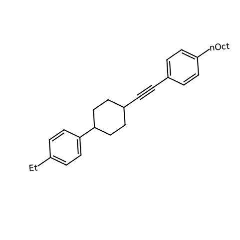 CCCCCCCCc1ccc(C#CC2CCC(c3ccc(CC)cc3)CC2)cc1